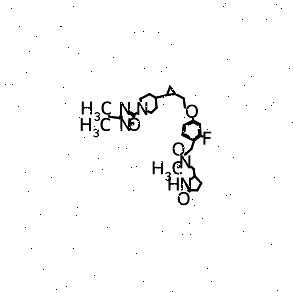 CC(C)c1noc(N2CCC(C3CC3CCOc3ccc(CC(=O)N(C)CC4CCC(=O)N4)c(F)c3)CC2)n1